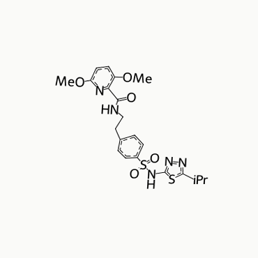 COc1ccc(OC)c(C(=O)NCCc2ccc(S(=O)(=O)Nc3nnc(C(C)C)s3)cc2)n1